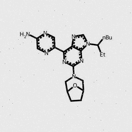 CCCCC(CC)n1cnc2c(-c3cnc(N)cn3)nc(N3CC4CCC(C3)O4)nc21